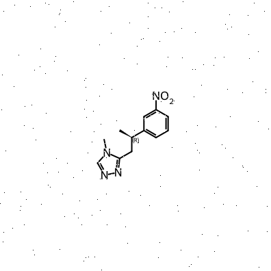 C[C@H](Cc1nncn1C)c1cccc([N+](=O)[O-])c1